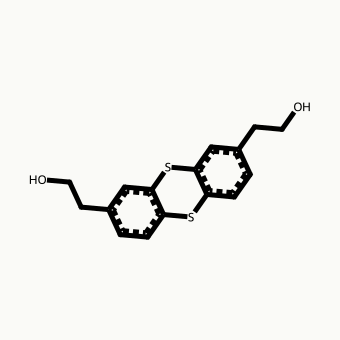 OCCc1ccc2c(c1)Sc1cc(CCO)ccc1S2